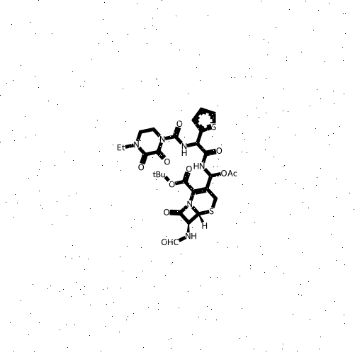 CCN1CCN(C(=O)NC(C(=O)NC(OC(C)=O)C2=C(C(=O)OC(C)(C)C)N3C(=O)[C@H](NC=O)[C@H]3SC2)c2cccs2)C(=O)C1=O